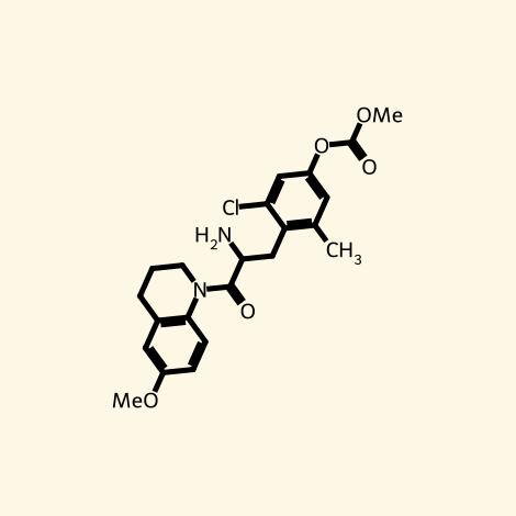 COC(=O)Oc1cc(C)c(CC(N)C(=O)N2CCCc3cc(OC)ccc32)c(Cl)c1